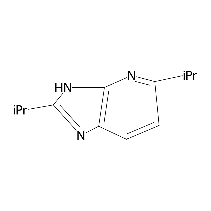 CC(C)c1ccc2nc(C(C)C)[nH]c2n1